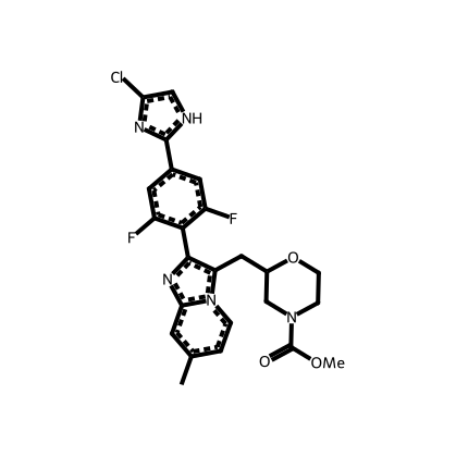 COC(=O)N1CCOC(Cc2c(-c3c(F)cc(-c4nc(Cl)c[nH]4)cc3F)nc3cc(C)ccn23)C1